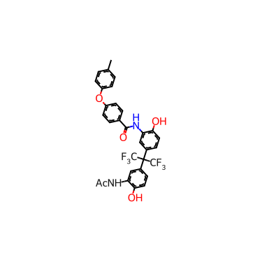 CC(=O)Nc1cc(C(c2ccc(O)c(NC(=O)c3ccc(Oc4ccc(C)cc4)cc3)c2)(C(F)(F)F)C(F)(F)F)ccc1O